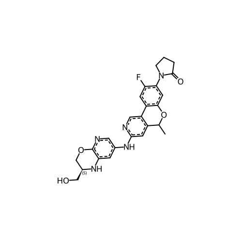 CC1Oc2cc(N3CCCC3=O)c(F)cc2-c2cnc(Nc3cnc4c(c3)N[C@@H](CO)CO4)cc21